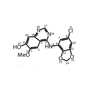 COc1cc2c(Nc3cc(Cl)cc4c3OCO4)ncnc2cc1O